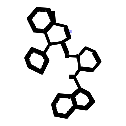 C=C/C=C\C(=NN1CC=CC=C1Nc1cccc2ccccc12)N(c1ccccc1)c1ccccc1